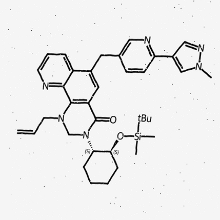 C=CCN1CN([C@H]2CCCC[C@@H]2O[Si](C)(C)C(C)(C)C)C(=O)c2cc(Cc3ccc(-c4cnn(C)c4)nc3)c3cccnc3c21